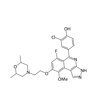 COc1c(OCCN2CC(C)OC(C)C2)cc(F)c2c(-c3ccc(O)c(Cl)c3)nc3[nH]ncc3c12